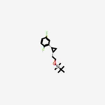 CC(C)(C)[Si](C)(C)OCC[C@H]1C[C@H]1c1cc(F)ccc1F